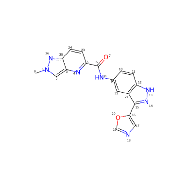 Cn1cc2nc(C(=O)Nc3ccc4[nH]nc(-c5cnco5)c4c3)ccc2n1